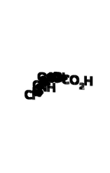 O=C(O)CN1CCc2ccc(N3C[C@H](NC(=O)c4ccc(Cl)s4)CC3=O)cc2CC1